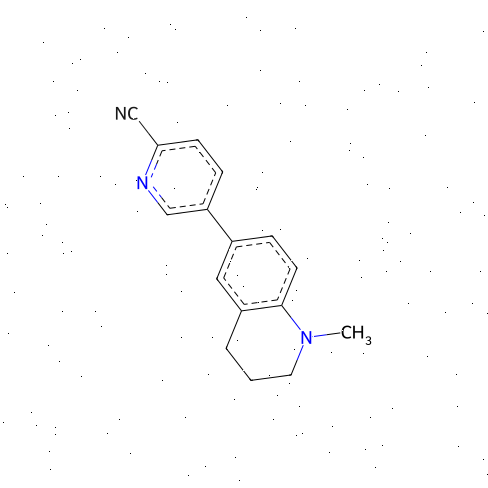 CN1CCCc2cc(-c3ccc(C#N)nc3)ccc21